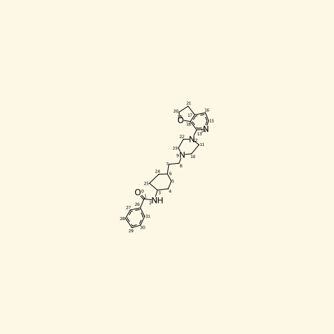 O=C(NC1CCC(CCN2CCN(c3nccc4c3OCC4)CC2)CC1)c1ccccc1